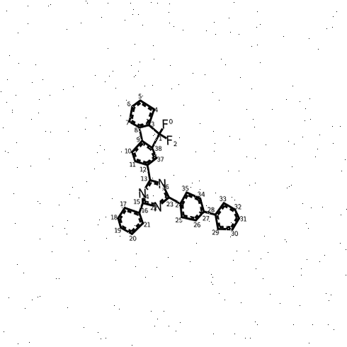 FC1(F)c2ccccc2-c2ccc(-c3nc(-c4ccccc4)nc(-c4ccc(-c5ccccc5)cc4)n3)cc21